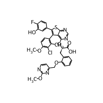 COc1nccc(COc2ccccc2C[C@@H](Oc2ncnc3sc(-c4ccc(F)c(O)c4)c(-c4ccc(OC)c(Cl)c4C)c23)C(=O)O)n1